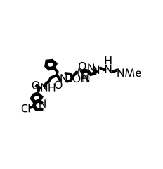 CNCCNCCn1cc2ncn(CC3(O)CCN(C(=O)C(CCCNC(=O)c4ccc5c(Cl)ccnc5c4)Cc4ccccc4)CC3)c(=O)c2n1